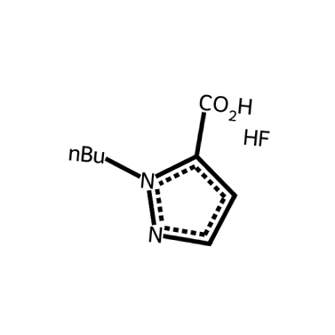 CCCCn1nccc1C(=O)O.F